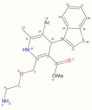 COC(=O)C1=C(COCCN)NC(C)=C(C(C)=O)C1c1csc2ccccc12